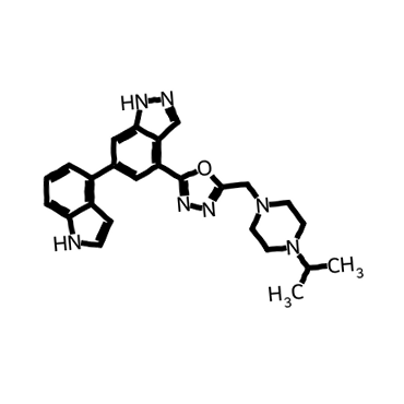 CC(C)N1CCN(Cc2nnc(-c3cc(-c4cccc5[nH]ccc45)cc4[nH]ncc34)o2)CC1